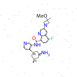 COC1(C)CN(c2cnc3c(C(=O)Nc4cnccc4[C@@H]4C[C@H](C)C[C@H](N)C4)ccc(F)c3c2)C1